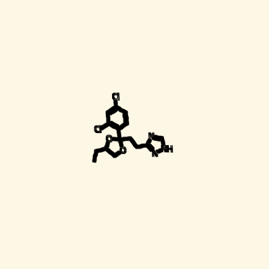 CCC1COC(CCc2nc[nH]n2)(c2ccc(Cl)cc2Cl)O1